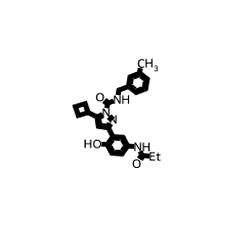 CCC(=O)Nc1ccc(O)c(-c2cc(C3CCC3)n(C(=O)NCc3cccc(C)c3)n2)c1